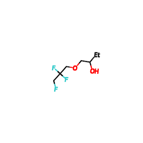 CCC(O)COCC(F)(F)CF